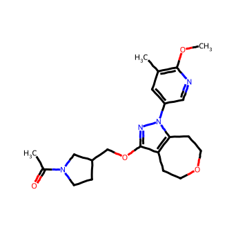 COc1ncc(-n2nc(OCC3CCN(C(C)=O)C3)c3c2CCOCC3)cc1C